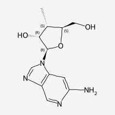 C[C@H]1[C@@H](O)[C@H](n2cnc3cnc(N)cc32)O[C@@H]1CO